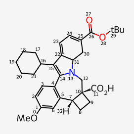 COc1ccc2c(c1)[C@H]1CC[C@@]1(C(=O)O)CN1C2=C(C2CCCCC2)C2=CC=C(C(=O)OC(C)(C)C)CC21